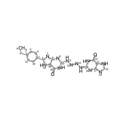 CCc1ccc(-c2nc3nc(NN=NNc4nc5nc[nH]c5c(=O)[nH]4)[nH]c(=O)c3[nH]2)cc1